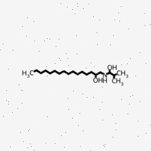 CCCCCCCCCCCCCCC(O)CNC(O)C(C)C